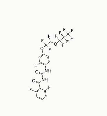 O=C(NC(=O)c1c(F)cccc1F)Nc1ccc(OC(F)(F)C(F)OC(F)(F)C(F)(F)C(F)(F)F)cc1F